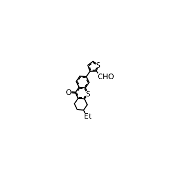 CCC1CCc2c(sc3cc(-c4ccsc4C=O)ccc3c2=O)C1